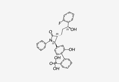 O=C1[C@H](CC[C@H](O)c2ccccc2F)[C@@H](c2ccc(-c3ccccc3P(=O)(O)O)c(O)c2)N1c1ccccc1